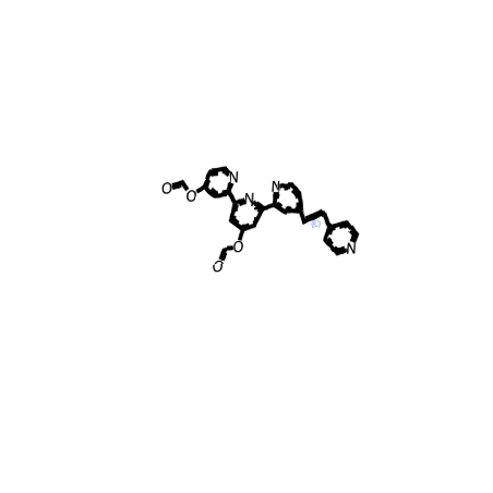 O=COc1ccnc(-c2cc(OC=O)cc(-c3cc(/C=C/c4ccncc4)ccn3)n2)c1